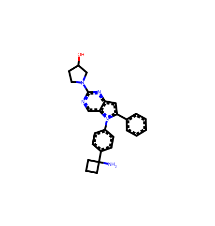 NC1(c2ccc(-n3c(-c4ccccc4)cc4nc(N5CCC(O)C5)ncc43)cc2)CCC1